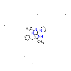 Cc1nc(N2CCCCC2)c2[nH]c(C)c(Cc3ccccc3)c2n1